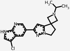 CC(C)N1CC2(CCn3nc(-c4cnc5[nH]cc(Cl)c5c4)cc32)C1